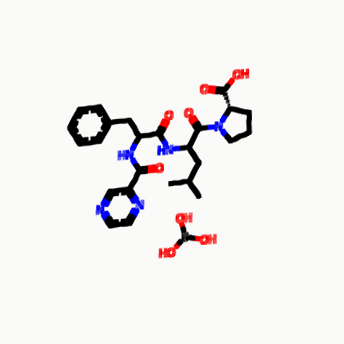 CC(C)CC(NC(=O)C(Cc1ccccc1)NC(=O)c1cnccn1)C(=O)N1CCC[C@H]1C(=O)O.OB(O)O